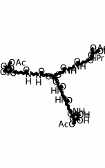 CC(=O)OCC(CCO)O[C@@H](OCCCCC(=O)NCCCNC(=O)CCOCC(C)(COCCC(=O)NCCCNC(=O)CCCCO[C@@H]1OC(COC(C)=O)[C@H](O)C(O)[C@@H]1C)COCCC(=O)NCCCNC(=O)CCCCO[C@@H]1OC(COC(C)=O)[C@H](O)C(O)[C@@H]1N)C(C)C